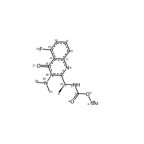 C[C@H](NC(=O)OC(C)(C)C)c1nc2cccc(F)c2c(=O)n1N(C)C